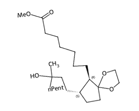 CCCCCC(C)(O)CC[C@H]1CCC2(OCCO2)[C@@H]1CCCCCCC(=O)OC